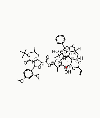 C=CC1O[C@H]2C[C@H]3OC[C@@]3(O)[C@H]3[C@H](OC(=O)c4ccccc4)[C@]4(C(C)(C)O)C[C@H](OC(=O)[C@@H]5OC(c6ccc(OC)cc6OC)N(C(=O)OC(C)(C)C)[C@H]5CC(C)C)C(C)=C4[C@H](O)[C@H](O1)[C@]23C